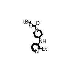 CCc1ncccc1NC1CCN(C(=O)OC(C)(C)C)CC1